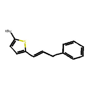 CC(C)(C)c1ccc(/C=C/Cc2ccccc2)s1